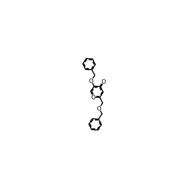 O=c1cc(COCc2ccccc2)occ1OCc1ccccc1